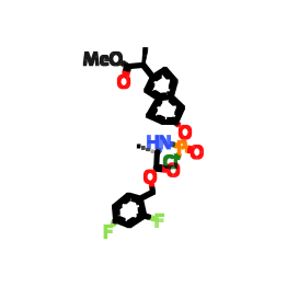 COC(=O)[C@@H](C)c1ccc2cc(OP(=O)(Cl)N[C@@H](C)C(=O)OCc3ccc(F)cc3F)ccc2c1